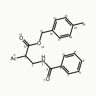 CC(=O)C(CNC(=O)c1ccccc1)C(=O)OCc1ccc(C)cc1